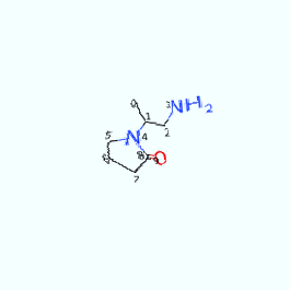 CC(CN)N1CCCC1=O